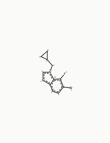 Fc1c(Br)ccc2ncn(CC3CC3)c12